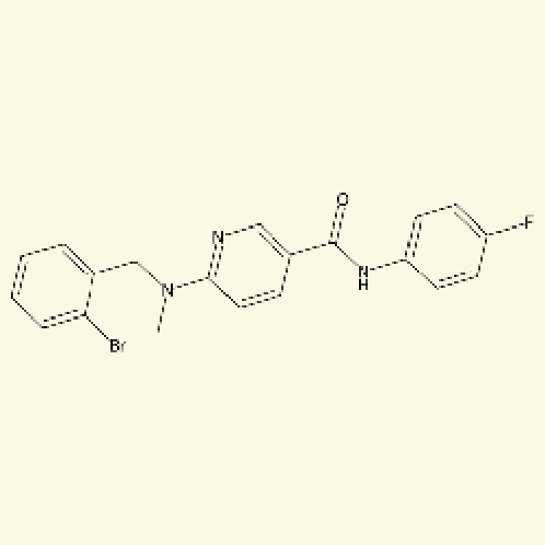 CN(Cc1ccccc1Br)c1ccc(C(=O)Nc2ccc(F)cc2)cn1